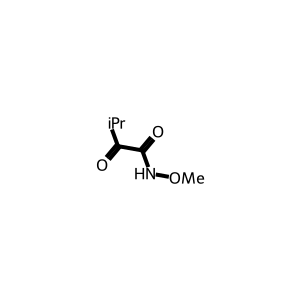 CONC(=O)C(=O)C(C)C